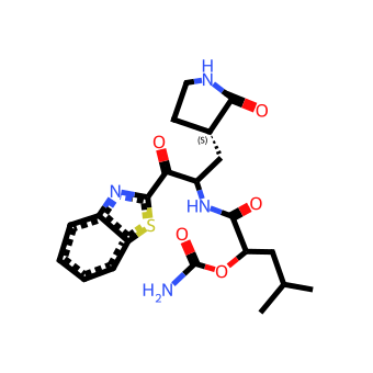 CC(C)CC(OC(N)=O)C(=O)NC(C[C@@H]1CCNC1=O)C(=O)c1nc2ccccc2s1